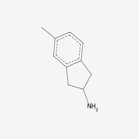 Cc1ccc2c(c1)CC(N)C2